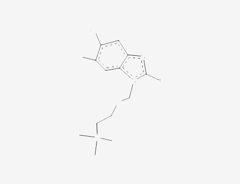 C[Si](C)(C)CCOCn1c(I)nc2cc(Cl)c(I)cc21